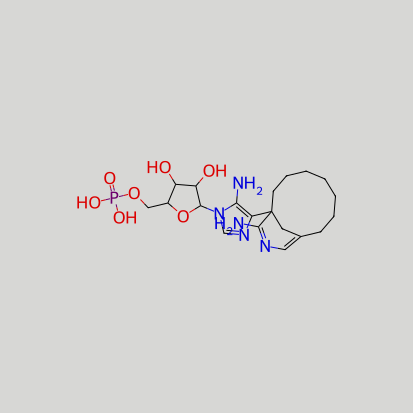 NC1=NC=C2CCCCCCCC1(c1ncn(C3OC(COP(=O)(O)O)C(O)C3O)c1N)C2